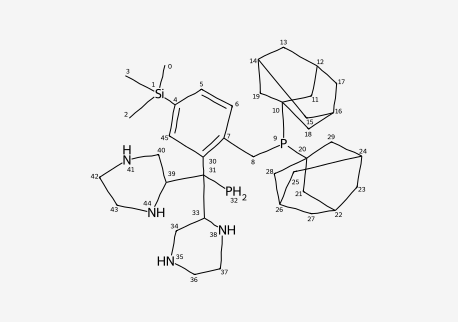 C[Si](C)(C)c1ccc(CP(C23CC4CC(CC(C4)C2)C3)C23CC4CC(CC(C4)C2)C3)c(C(P)(C2CNCCN2)C2CNCCN2)c1